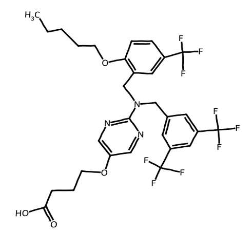 CCCCCOc1ccc(C(F)(F)F)cc1CN(Cc1cc(C(F)(F)F)cc(C(F)(F)F)c1)c1ncc(OCCCC(=O)O)cn1